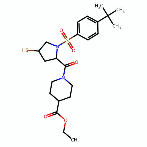 CCOC(=O)C1CCN(C(=O)C2CC(S)CN2S(=O)(=O)c2ccc(C(C)(C)C)cc2)CC1